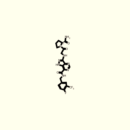 NC(=O)[C@@H]1CCCN1C(=O)CNc1n[nH]c2c(C(=O)NCc3ccc(F)c(C(F)(F)F)c3)ncnc12